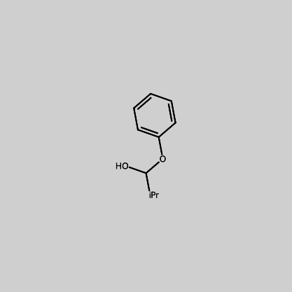 CC(C)C(O)Oc1ccccc1